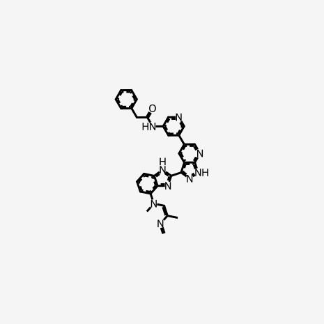 C=N/C(C)=C\N(C)c1cccc2[nH]c(-c3n[nH]c4ncc(-c5cncc(NC(=O)Cc6ccccc6)c5)cc34)nc12